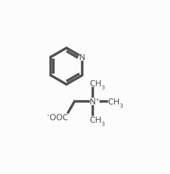 C[N+](C)(C)CC(=O)[O-].c1ccncc1